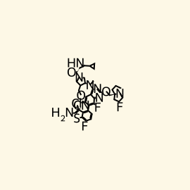 CN1c2nc(OC[C@@]34CCCN3C[C@H](F)C4)nc3c(F)c(-c4ccc(F)c5sc(N)c(C#N)c45)c(Cl)c(c23)OCC2CN(C(=O)[C@@H]3NC3C3CC3)CC21